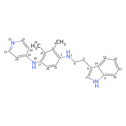 Cc1c(NCCc2c[nH]c3ccccc23)ccc(Nc2ccncc2)c1C